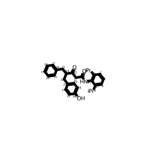 CC(C)c1cccc(C(C)C)c1NC(=O)CC(=O)C(Cc1ccccc1)Cc1ccc(O)cc1